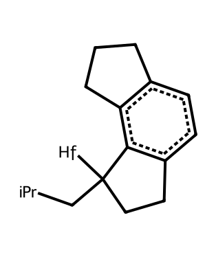 CC(C)C[C]1([Hf])CCc2ccc3c(c21)CCC3